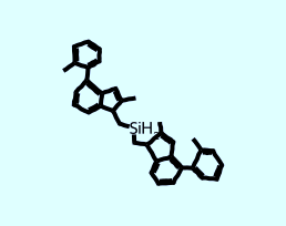 CC1=Cc2c(-c3ccccc3C)cccc2C1C[SiH2]CC1C(C)=Cc2c(-c3ccccc3C)cccc21